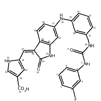 O=C(Nc1cccc(F)c1)Nc1cccc(Nc2ccc3c(c2)NC(=O)/C3=C\c2cc(C(=O)O)c[nH]2)c1